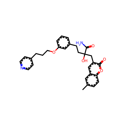 Cc1ccc2oc(=O)c(CC(O)(CCc3cccc(OCCCc4ccncc4)c3)C(N)=O)cc2c1